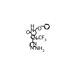 Nc1nccc(-c2cc3c(n2CC(F)(F)F)CC(COCc2ccccc2)NC3=O)n1